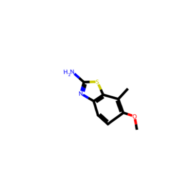 COc1ccc2nc(N)sc2c1C